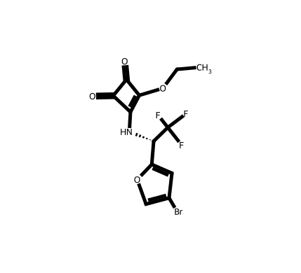 CCOc1c(N[C@@H](c2cc(Br)co2)C(F)(F)F)c(=O)c1=O